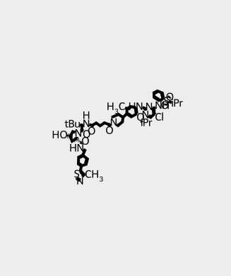 Cc1cc(Nc2ncc(Cl)c(Nc3ccccc3S(=O)(=O)C(C)C)n2)c(OC(C)C)cc1C1CCN(C(=O)CCCC(=O)NC(C(=O)N2C[C@H](O)C[C@H]2C(=O)NCc2ccc(-c3scnc3C)cc2)C(C)(C)C)CC1